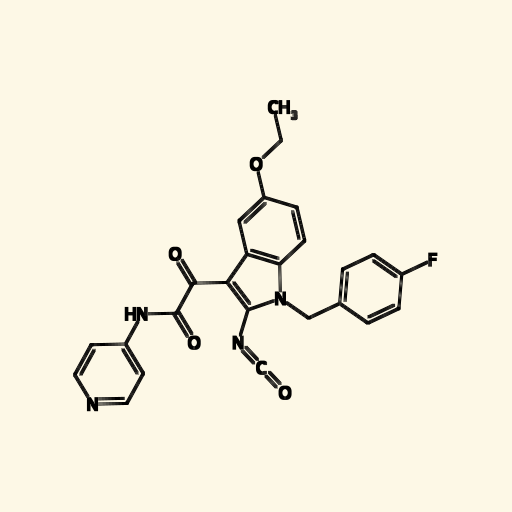 CCOc1ccc2c(c1)c(C(=O)C(=O)Nc1ccncc1)c(N=C=O)n2Cc1ccc(F)cc1